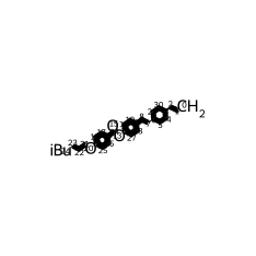 C=CC[C@H]1CC[C@H](CCc2ccc(OC(=O)c3ccc(OCCC[C@@H](C)CC)cc3)cc2)CC1